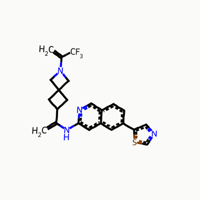 C=C(Nc1cc2cc(-c3cncs3)ccc2cn1)C1CC2(C1)CN(C(=C)C(F)(F)F)C2